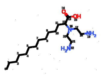 CCCCCCCCCCCCC(C(=O)O)N(CCN)CCN